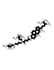 CC(C)C(C)CCCC1CCC2C3CC=C4CC(OC(=O)CCC(=O)N(CCCCNCCC(C)(C)N)CCC(C)(C)N)CCC4(C)C3CCC12C